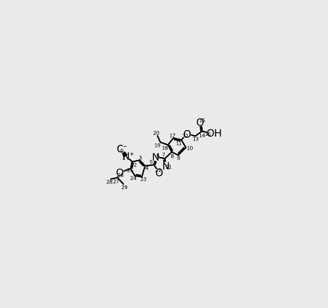 [C-]#[N+]c1cc(-c2nc(-c3ccc(OCC(=O)O)cc3CC)no2)ccc1OC(C)C